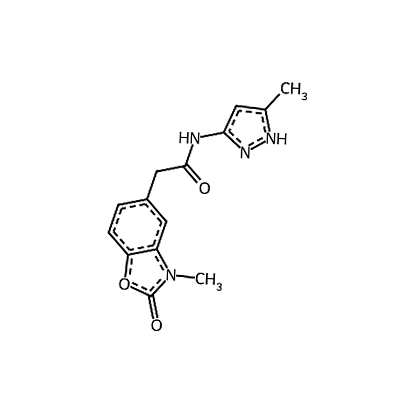 Cc1cc(NC(=O)Cc2ccc3oc(=O)n(C)c3c2)n[nH]1